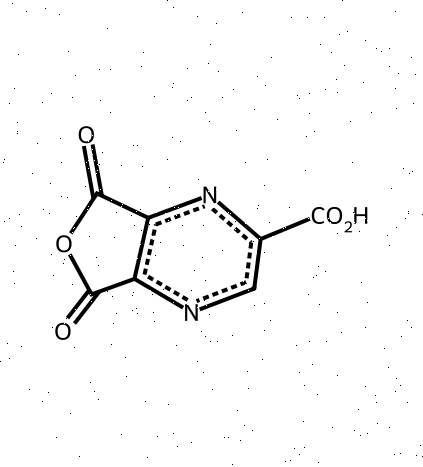 O=C(O)c1cnc2c(n1)C(=O)OC2=O